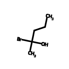 CCCC(C)(O)Br